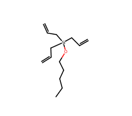 C=CC[Si](CC=C)(CC=C)OCCCCC